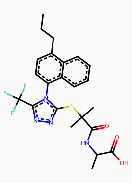 CCCc1ccc(-n2c(SC(C)(C)C(=O)NC(C)C(=O)O)nnc2C(F)(F)F)c2ccccc12